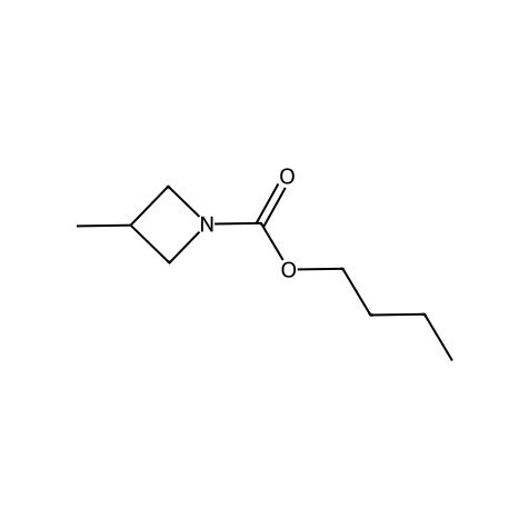 CCCCOC(=O)N1CC(C)C1